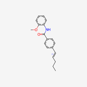 CCC/C=C/c1ccc(C(=O)Nc2ccccc2OC)cc1